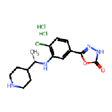 C[C@H](Nc1cc(-c2n[nH]c(=O)o2)ccc1Cl)C1CCNCC1.Cl.Cl